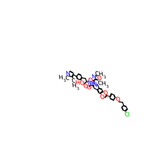 Cc1nc(C(=O)N2Cc3cc4c(cc3C[C@H]2C(=O)NC(Cc2ccc(-c3ccnc(C)c3C)cc2)C(=O)O)OC[C@H](c2ccc(OCCc3ccc(Cl)cc3)cc2)O4)c(C)o1